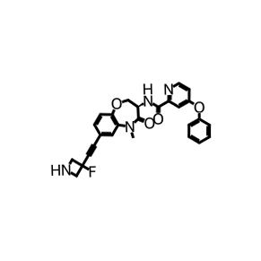 CN1C(=O)[C@H](NC(=O)c2cc(Oc3ccccc3)ccn2)COc2ccc(C#CC3(F)CNC3)cc21